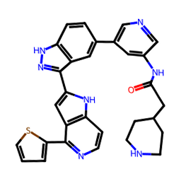 O=C(CC1CCNCC1)Nc1cncc(-c2ccc3[nH]nc(-c4cc5c(-c6cccs6)nccc5[nH]4)c3c2)c1